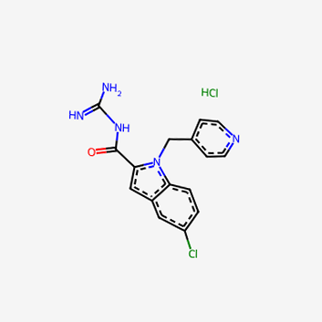 Cl.N=C(N)NC(=O)c1cc2cc(Cl)ccc2n1Cc1ccncc1